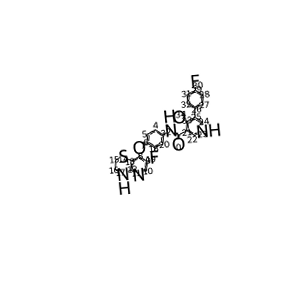 O=C(Nc1ccc(Oc2ccnc3c2SCCN3)c(F)c1)c1c[nH]cc(-c2ccc(F)cc2)c1=O